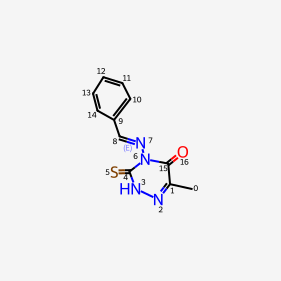 Cc1n[nH]c(=S)n(/N=C/c2ccccc2)c1=O